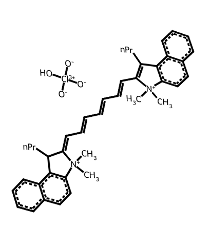 CCCC1=C(C=CC=CC=CC=C2C(CCC)c3c(ccc4ccccc34)[N+]2(C)C)[N+](C)(C)c2ccc3ccccc3c21.[O-][Cl+3]([O-])([O-])O